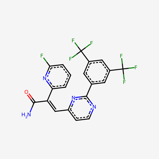 NC(=O)/C(=C/c1ccnc(-c2cc(C(F)(F)F)cc(C(F)(F)F)c2)n1)c1cccc(F)n1